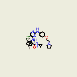 CC1(C)[C@H]2C[C@H](C(=O)NC3CC3)[C@](C)(Nc3nc(Nc4ccc(OCCN5CCCC5)cc4)ncc3Cl)[C@@H]1C2